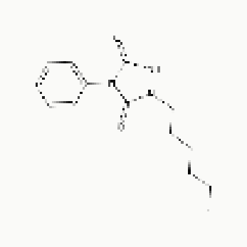 CCCCCCn1[nH]c(=O)n(-c2ccccc2)c1=O